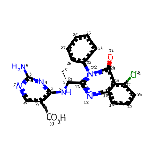 C[C@@H](Nc1nc(N)ncc1C(=O)O)c1nc2cccc(Cl)c2c(=O)n1-c1ccccc1